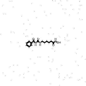 O=C(CCCCCNC(=S)NC(=O)c1ccccc1)NO